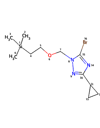 C[Si](C)(C)CCOCn1nc(C2CC2)nc1Br